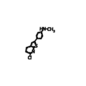 CNc1ccc(-c2cc3ccc(Cl)nc3s2)cc1